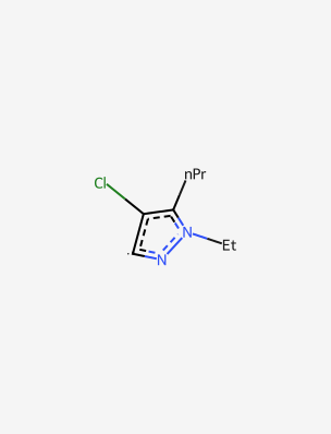 CCCc1c(Cl)[c]nn1CC